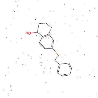 OC1CCCc2cc(SCc3ccccc3)ccc21